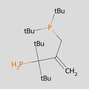 C=C(CP(C(C)(C)C)C(C)(C)C)C(P)(C(C)(C)C)C(C)(C)C